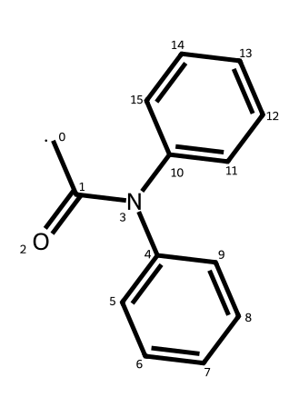 [CH2]C(=O)N(c1ccccc1)c1ccccc1